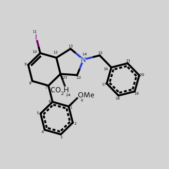 COc1ccccc1C1CC=C(I)C2CN(Cc3ccccc3)CC21C(=O)O